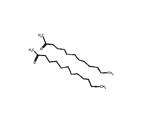 CCCCCCCCCCCC(C)=O.CCCCCCCCCCCC(C)=O